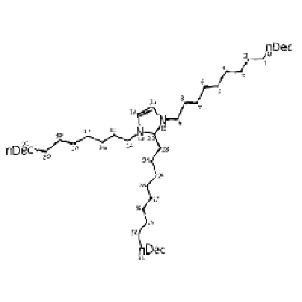 CCCCCCCCCCCCCCCCCCCN1C=CN(CCCCCCCCCCCCCCCCC)C1CCCCCCCCCCCCCCCCCC